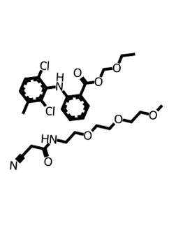 CCOCOC(=O)c1ccccc1Nc1c(Cl)ccc(C)c1Cl.COCCOCCOCCNC(=O)CC#N